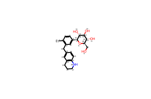 CCc1ccc([C@@H]2O[C@H](CO)[C@@H](O)[C@H](O)[C@H]2O)cc1Cc1ccc2c(c1)CCCN2